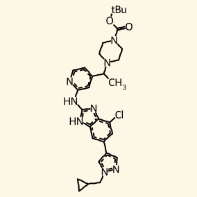 CC(c1ccnc(Nc2nc3c(Cl)cc(-c4cnn(CC5CC5)c4)cc3[nH]2)c1)N1CCN(C(=O)OC(C)(C)C)CC1